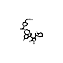 CNCC1CCN(C(=O)N2CCn3cc(C4=C(c5cnc6ccccn56)CNC4=O)c4cc(F)cc(c43)C2)CC1